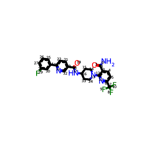 NC(=O)c1ccc(C(F)(F)F)nc1N1CCC(NC(=O)c2ccc(-c3cccc(F)c3)nc2)CC1